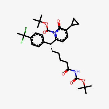 CC(C)(C)OC(=O)NC(=O)CCCC[C@H](c1ccc(C(C)(F)F)cc1)c1ccc(C2CC2)c(=O)n1C(=O)OC(C)(C)C